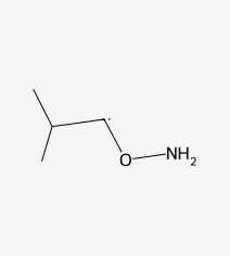 CC(C)[CH]ON